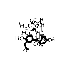 C=C(C)C(=O)O.C=C(C)C(=O)O.CC(C)(c1ccc(O)cc1)c1ccc(O)c(CC2CO2)c1